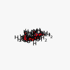 C[C@H](NC(=O)[C@@H](NC(=O)[C@@H](N)CCCCN)[C@@H](O)CN)C(=O)NCC(=O)N[C@H](CCCN)C(=O)N1CCC[C@H]1C(=O)N[C@@H](CCC(N)=O)C(=O)N[C@@H](CCCCN)C(=O)N/C(=C\CCNC(=N)N)C(=O)N[C@@H](CCCCN)C(=O)NCCCCN